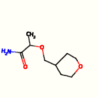 CC(OCC1CCOCC1)C(N)=O